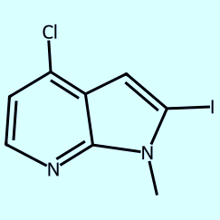 Cn1c(I)cc2c(Cl)ccnc21